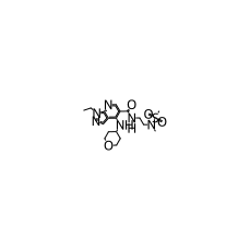 CCn1ncc2c(NC3CCOCC3)c(C(=O)NCCN(C)S(C)(=O)=O)cnc21